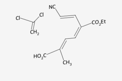 C=C(Cl)Cl.CCOC(=O)C(C=CC#N)=CC=C(C)C(=O)O